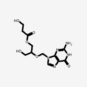 Nc1nc2c(ncn2COC(CO)COC(=O)CCO)c(=O)[nH]1